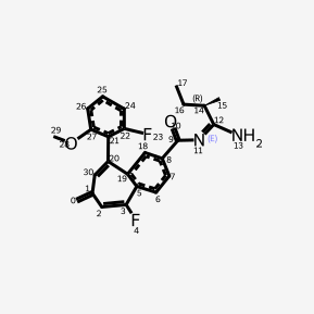 C=C1C=C(F)c2ccc(C(=O)/N=C(/N)[C@H](C)CC)cc2C(c2c(F)cccc2OC)=C1